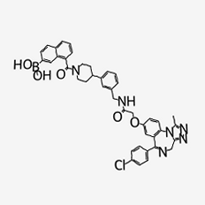 Cc1nnc2n1-c1ccc(OCC(=O)NCc3cccc(C4CCN(C(=O)c5cccc6ccc(B(O)O)cc56)CC4)c3)cc1C(c1ccc(Cl)cc1)=NC2